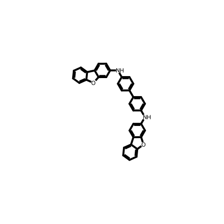 c1ccc2c(c1)oc1cc(Nc3ccc(-c4ccc(Nc5ccc6c(c5)oc5ccccc56)cc4)cc3)ccc12